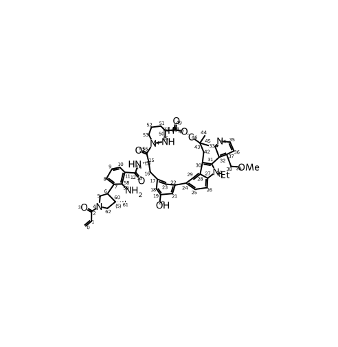 C=CC(=O)N1CC(c2cccc(C(=O)N[C@H]3Cc4cc(O)cc(c4)-c4ccc5c(c4)c(c(-c4cnccc4COC)n5CC)CC(C)(C)COC(=O)[C@@H]4CCCN(N4)C3=O)c2N)[C@H](C)C1